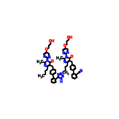 CCCCc1nc(C)n(-c2ncc(OCCCO)cn2)c(=O)c1Cc1ccc(-c2ccccc2-c2nnn[nH]2)cc1.CCCCc1nc(C)n(-c2ncc(OCCCO)cn2)c(=O)c1Cc1ccc(-c2ccccc2C#N)cc1